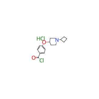 Cl.O=C(Cl)c1ccc(OC2CCN(C3CCC3)CC2)cc1